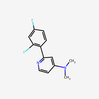 CN(C)c1ccnc(-c2ccc(F)cc2F)c1